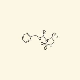 O=C(OCc1ccccc1)N1[C@H](C(F)(F)F)COS1(=O)=O